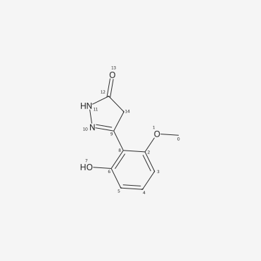 COc1cccc(O)c1C1=NNC(=O)C1